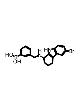 OB(O)c1cccc(CN[C@@H]2CCCc3c2[nH]c2ccc(Br)cc32)c1